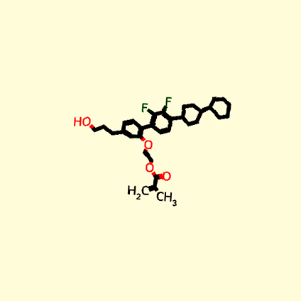 C=C(C)C(=O)OCCOc1cc(CCCO)ccc1-c1ccc(C2CCC(C3CCCCC3)CC2)c(F)c1F